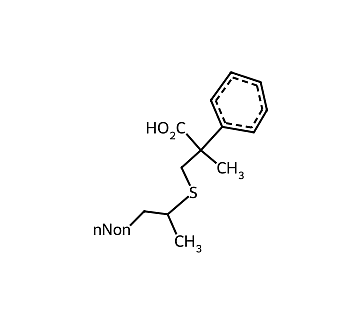 CCCCCCCCCCC(C)SCC(C)(C(=O)O)c1ccccc1